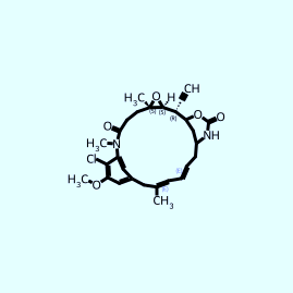 C#C[C@@H]1C2CC(C/C=C/C=C(\C)Cc3cc(OC)c(Cl)c(c3)N(C)C(=O)CC[C@]3(C)O[C@@H]13)NC(=O)O2